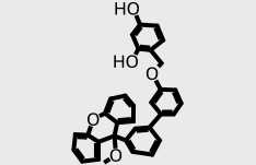 COC1(c2cccc(-c3cccc(OCc4ccc(O)cc4O)c3)c2)c2ccccc2Oc2ccccc21